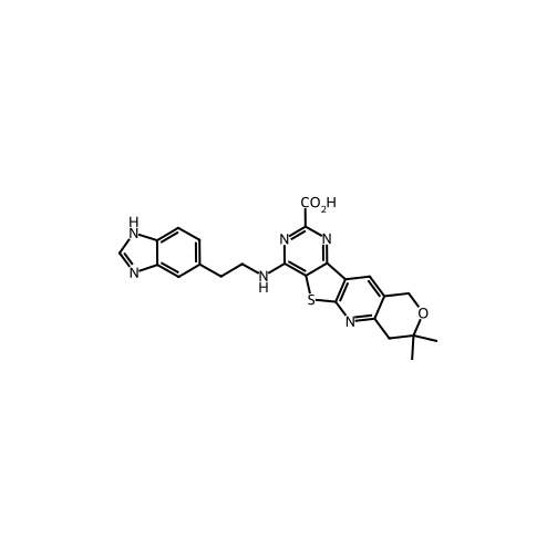 CC1(C)Cc2nc3sc4c(NCCc5ccc6[nH]cnc6c5)nc(C(=O)O)nc4c3cc2CO1